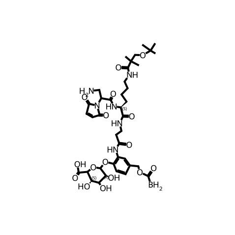 BC(=O)OCc1ccc(OC2OC(C(=O)O)[C@@H](O)C(O)[C@H]2O)c(NC(=O)CCNC(=O)[C@H](CCCCNC(=O)C(C)(C)COC(C)(C)C)NC(=O)C(CN)N2C(=O)C=CC2=O)c1